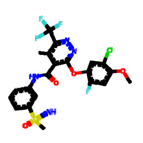 COc1cc(F)c(Oc2nnc(C(F)(F)F)c(C)c2C(=O)Nc2cccc(S(C)(=N)=O)c2)cc1Cl